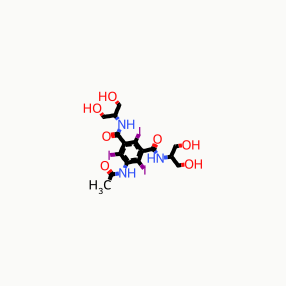 CC(=O)Nc1c(I)c(C(=O)NC(CO)CO)c(I)c(C(=O)NC(CO)CO)c1I